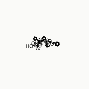 CN(C)C(=O)[C@H](CC(=O)O)N(C)C(=O)[C@H](C1CCCC1)N(C)C(=O)C1(NC(=O)[C@@H]2CCCN2C(=O)OCc2ccccc2)CCCC1